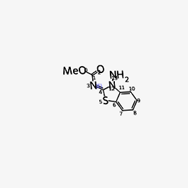 COC(=O)/N=c1/sc2ccccc2n1N